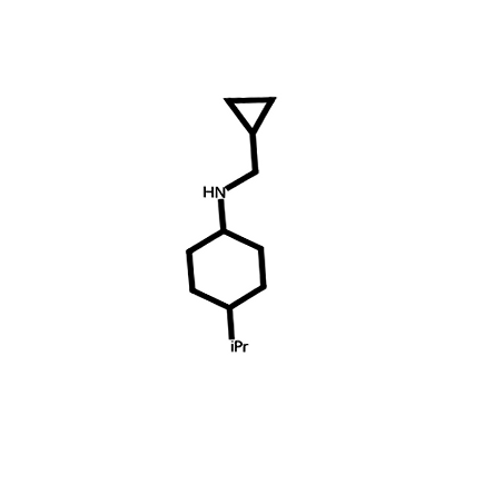 CC(C)C1CCC(NCC2CC2)CC1